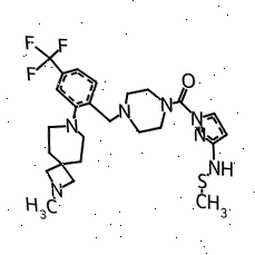 CSNc1ccn(C(=O)N2CCN(Cc3ccc(C(F)(F)F)cc3N3CCC4(CC3)CN(C)C4)CC2)n1